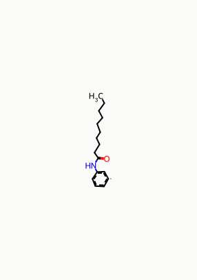 CCCCCCCCCC(=O)Nc1c[c]ccc1